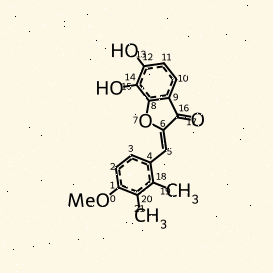 COc1ccc(C=C2Oc3c(ccc(O)c3O)C2=O)c(C)c1C